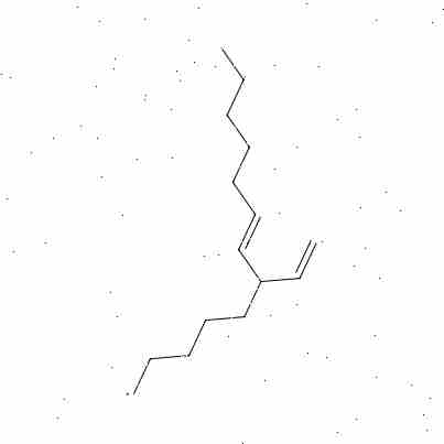 [CH2]CCCCC(C=C)C=CCCCCC